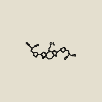 CCCN1c2cc(C3=CC=C(C=C(C#N)C#N)C3)sc2C=Cc2sc(C3=CC=C(C=C(C#N)C#N)C3)cc21